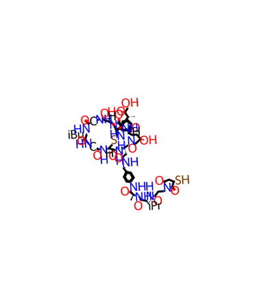 CC[C@H](C)[C@@H]1NC(=O)CNC(=O)[C@H]2Cc3c([nH]c4ccccc34)SC[C@H](NC(=O)CNC1=O)C(=O)N[C@@H](CC(=O)NCc1ccc(NC(=O)[C@H](C)NC(=O)[C@@H](NC(=O)CCN3C(=O)CC(S)C3=O)C(C)C)cc1)C(=O)N1C[C@H](O)C[C@@H]1C(=O)N[C@@H]([C@@H](C)[C@@H](O)CO)C(=O)N2